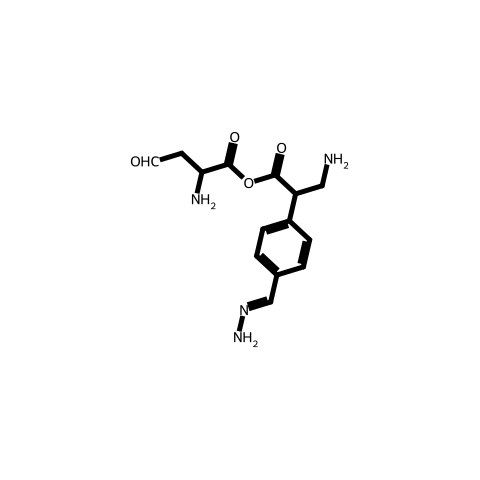 NCC(C(=O)OC(=O)C(N)CC=O)c1ccc(C=NN)cc1